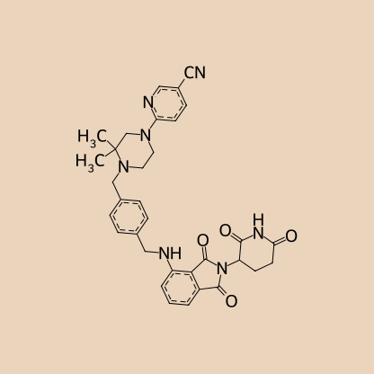 CC1(C)CN(c2ccc(C#N)cn2)CCN1Cc1ccc(CNc2cccc3c2C(=O)N(C2CCC(=O)NC2=O)C3=O)cc1